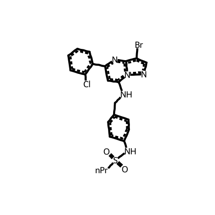 CCCS(=O)(=O)Nc1ccc(CNc2cc(-c3ccccc3Cl)nc3c(Br)cnn23)cc1